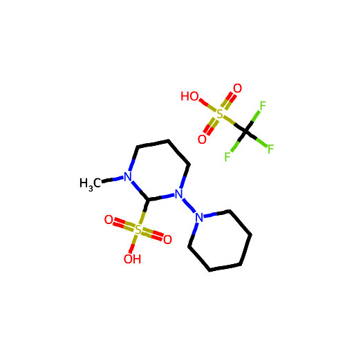 CN1CCCN(N2CCCCC2)C1S(=O)(=O)O.O=S(=O)(O)C(F)(F)F